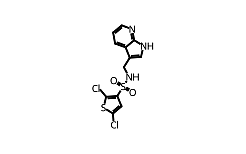 O=S(=O)(NCc1c[nH]c2ncccc12)c1cc(Cl)sc1Cl